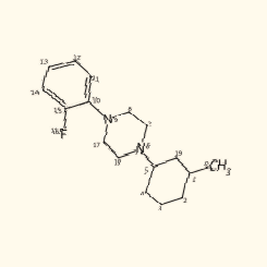 CC1CCCC(N2CCN(c3ccccc3F)CC2)C1